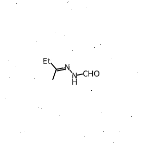 CCC(C)=NNC=O